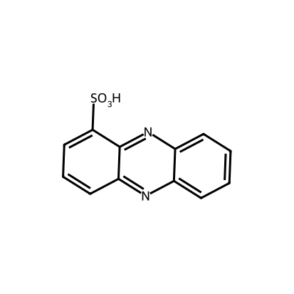 O=S(=O)(O)c1cccc2nc3ccccc3nc12